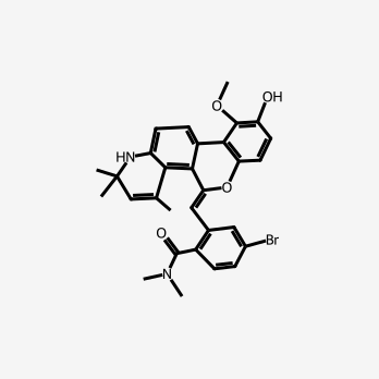 COc1c(O)ccc2c1-c1ccc3c(c1/C(=C/c1cc(Br)ccc1C(=O)N(C)C)O2)C(C)=CC(C)(C)N3